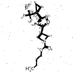 CCCCOC(=O)N1CC(c2nc(C3(C(F)(F)F)CC3)no2)C1